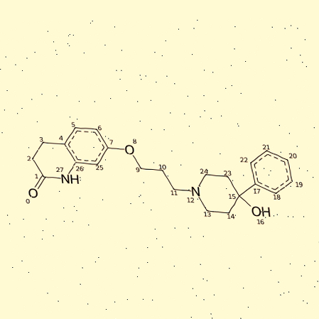 O=C1CCc2ccc(OCCCN3CCC(O)(c4ccccc4)CC3)cc2N1